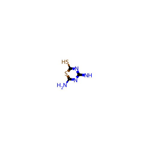 N=c1nc(N)sc(S)n1